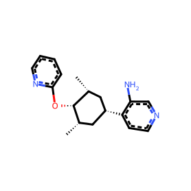 C[C@@H]1C[C@H](c2ccncc2N)C[C@H](C)[C@@H]1Oc1ccccn1